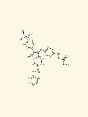 COC(=O)COc1ccc(Cn2c(-c3ccc(C(F)(F)F)cc3)c(C)c3cc(OCc4ccccc4)ccc32)cc1